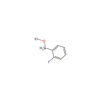 CCO[SiH2]c1ccccc1I